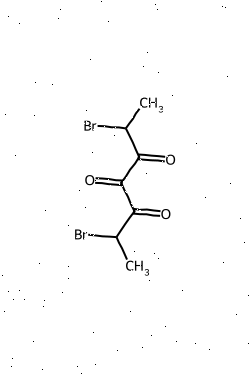 CC(Br)C(=O)C(=O)C(=O)C(C)Br